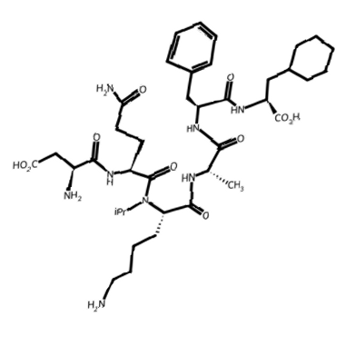 CC(C)N(C(=O)[C@H](CCC(N)=O)NC(=O)[C@@H](N)CC(=O)O)[C@@H](CCCCN)C(=O)N[C@@H](C)C(=O)N[C@@H](Cc1ccccc1)C(=O)N[C@@H](CC1CCCCC1)C(=O)O